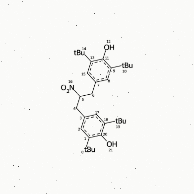 CC(C)(C)c1cc(CC(Cc2cc(C(C)(C)C)c(O)c(C(C)(C)C)c2)[N+](=O)[O-])cc(C(C)(C)C)c1O